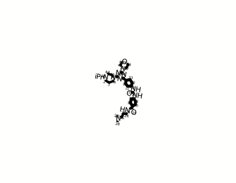 CC(C)N1CCCN(c2nc(-c3ccc(NC(=O)Nc4ccc(C(=O)NCCCN(C)C)cc4)cc3)nc(N3CCOCC3)n2)CC1